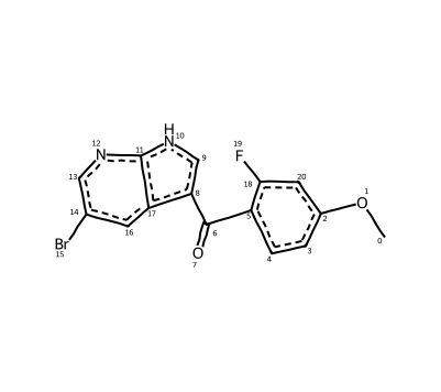 COc1ccc(C(=O)c2c[nH]c3ncc(Br)cc23)c(F)c1